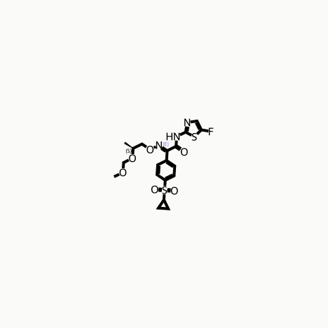 COCO[C@@H](C)CO/N=C(/C(=O)Nc1ncc(F)s1)c1ccc(S(=O)(=O)C2CC2)cc1